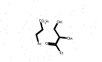 CC(=O)CCC(=O)O.CCC(=O)C(O)CO